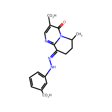 CC1CCC(=NNc2cccc(C(=O)O)c2)c2ncc(C(=O)O)c(=O)n21